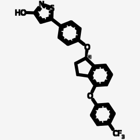 Oc1cc(-c2ccc(O[C@@H]3CCc4c(Oc5ccc(C(F)(F)F)cc5)cccc43)cc2)sn1